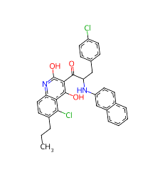 CCCc1ccc2nc(O)c(C(=O)C(Cc3ccc(Cl)cc3)Nc3ccc4ccccc4c3)c(O)c2c1Cl